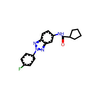 O=C(Nc1ccc2nn(-c3ccc(F)cc3)nc2c1)C1CCCC1